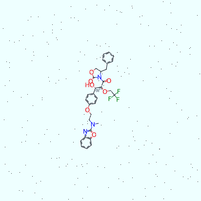 CN(CCOc1ccc([C@H](O)[C@H](OCC(F)(F)F)C(=O)N2C(=O)OCC2Cc2ccccc2)cc1)c1nc2ccccc2o1